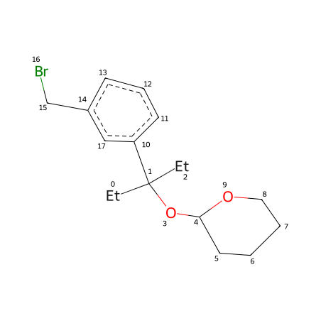 CCC(CC)(OC1CCCCO1)c1cccc(CBr)c1